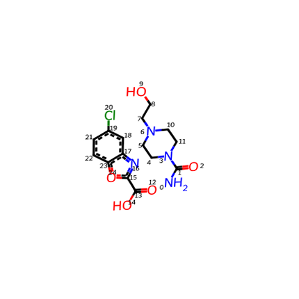 NC(=O)N1CCN(CCO)CC1.O=C(O)c1nc2cc(Cl)ccc2o1